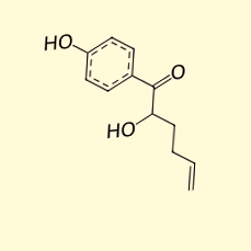 C=CCCC(O)C(=O)c1ccc(O)cc1